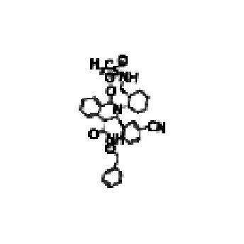 CS(=O)(=O)NC[C@H]1CCCC[C@@H]1N1C(=O)c2ccccc2[C@@H](C(=O)NOCc2ccccc2)[C@@H]1c1cccc(C#N)c1